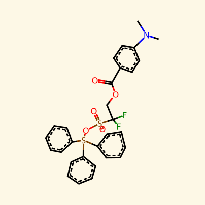 CN(C)c1ccc(C(=O)OCC(F)(F)S(=O)(=O)OS(c2ccccc2)(c2ccccc2)c2ccccc2)cc1